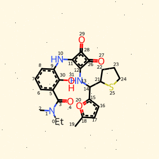 CCN(C)C(=O)c1cccc(Nc2c(NC(c3ccc(C)o3)C3CCCS3)c(=O)c2=O)c1O